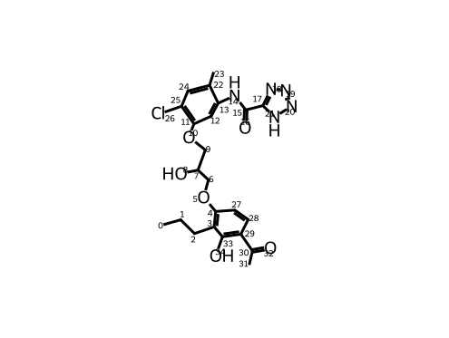 CCCc1c(OCC(O)COc2cc(NC(=O)c3nnn[nH]3)c(C)cc2Cl)ccc(C(C)=O)c1O